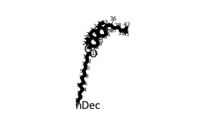 CCCCCCCCCCCCCCCCCCCCCCCC(=O)OC1CC[C@]2(C)C3=C(CCC2C1(C)C)[C@]1(C)CC[C@H]([C@H](C)CCC=C(C)C)[C@@]1(C)CC3